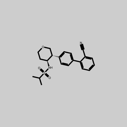 CC(C)S(=O)(=O)N[C@H]1CCOC[C@@H]1c1ccc(-c2ccccc2C#N)cc1